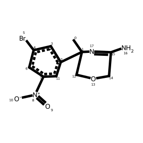 CC1(c2cc(Br)cc([N+](=O)[O-])c2)COCC(N)=N1